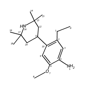 CCc1cc(N)c(OC)cc1C1CC(C)(C)NC(C)(C)C1